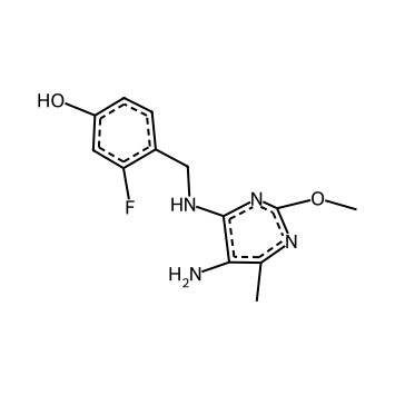 COc1nc(C)c(N)c(NCc2ccc(O)cc2F)n1